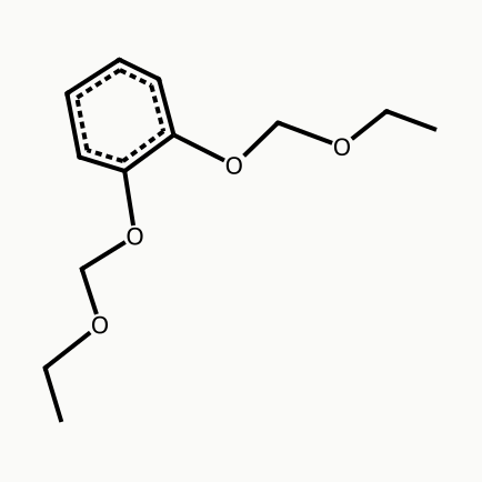 CCOCOc1ccccc1OCOCC